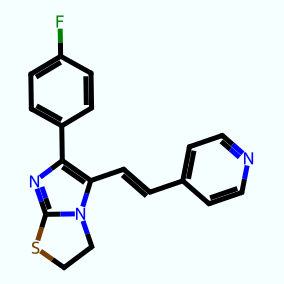 Fc1ccc(-c2nc3n(c2C=Cc2ccncc2)CCS3)cc1